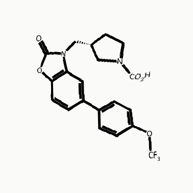 O=C(O)N1CC[C@@H](Cn2c(=O)oc3ccc(-c4ccc(OC(F)(F)F)cc4)cc32)C1